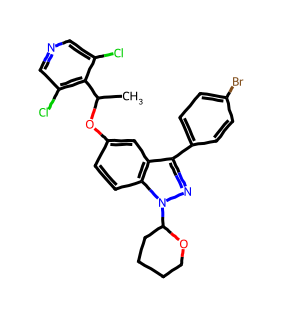 CC(Oc1ccc2c(c1)c(-c1ccc(Br)cc1)nn2C1CCCCO1)c1c(Cl)cncc1Cl